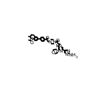 CC(=O)N1c2ccc(-c3ccc(C(=O)CN4CCN(C(=O)c5cn6cc(-c7cnc(N)nc7)nc(N7CCOCC7)c6n5)CC4)cc3)cc2CCC1C